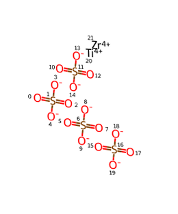 O=S(=O)([O-])[O-].O=S(=O)([O-])[O-].O=S(=O)([O-])[O-].O=S(=O)([O-])[O-].[Ti+4].[Zr+4]